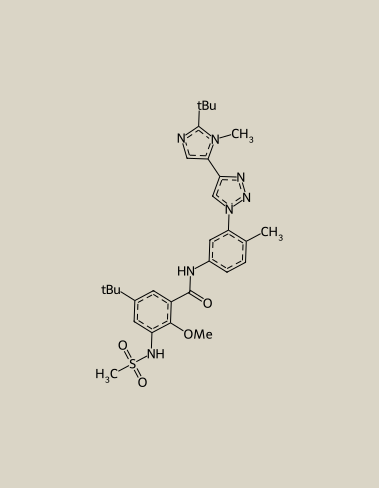 COc1c(NS(C)(=O)=O)cc(C(C)(C)C)cc1C(=O)Nc1ccc(C)c(-n2cc(-c3cnc(C(C)(C)C)n3C)nn2)c1